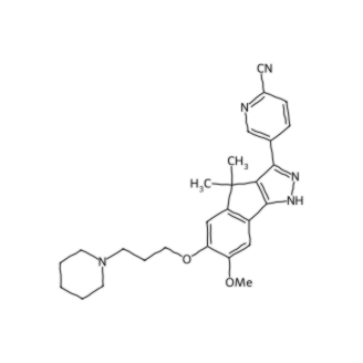 COc1cc2c(cc1OCCCN1CCCCC1)C(C)(C)c1c(-c3ccc(C#N)nc3)n[nH]c1-2